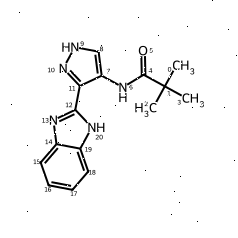 CC(C)(C)C(=O)Nc1c[nH]nc1-c1nc2ccccc2[nH]1